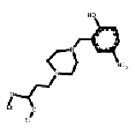 CCOC(CCN1CCN(Cc2cc([N+](=O)[O-])ccc2O)CC1)OCC